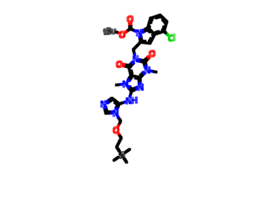 Cn1c(Nc2cncn2COCC[Si](C)(C)C)nc2c1c(=O)n(Cc1cc3c(Cl)cccc3n1C(=O)OC(C)(C)C)c(=O)n2C